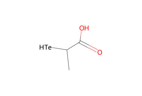 CC([TeH])C(=O)O